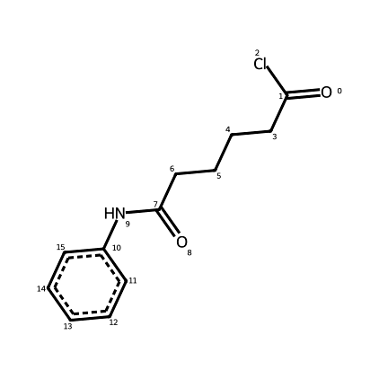 O=C(Cl)CCCCC(=O)Nc1ccccc1